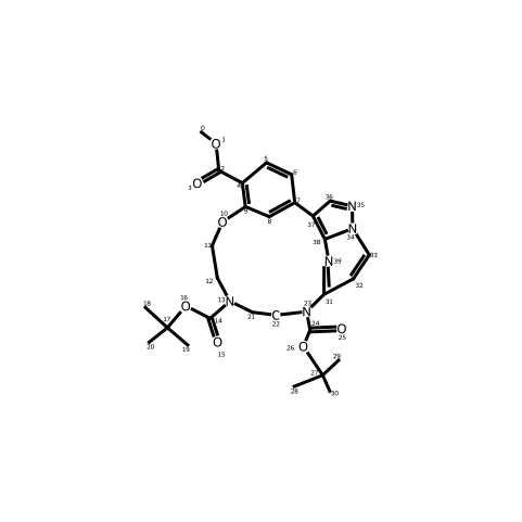 COC(=O)c1ccc2cc1OCCN(C(=O)OC(C)(C)C)CCN(C(=O)OC(C)(C)C)c1ccn3ncc-2c3n1